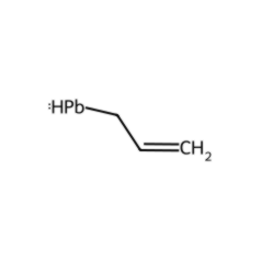 C=C[CH2][PbH]